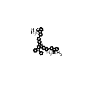 CC1(C)c2ccccc2-c2ccc(-c3ccc4cc5c6cc7c8ccccc8n(-c8ccccc8)c7c7c8cc9ccc(-c%10ccc%11c(c%10)C(C)(C)c%10ccccc%10-%11)cc9cc8n(c5cc4c3)c67)cc21